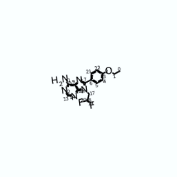 CCOc1ccc(-c2nc3c(N)ncnc3n2CC(F)F)cc1